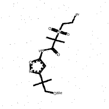 COCC(C)(C)c1cc(NC(=O)C(C)(C)S(=O)(=O)CCC(C)C)on1